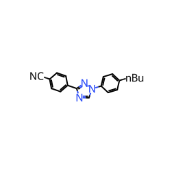 CCCCc1ccc(-n2cnc(-c3ccc(C#N)cc3)n2)cc1